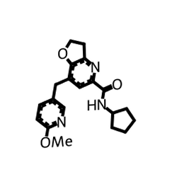 COc1ccc(Cc2cc(C(=O)NC3CCCC3)nc3c2OCC3)cn1